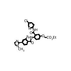 CCOC(=O)COc1ccc(NC(=O)c2ccc(C3=NCCN3C)cc2F)c(C(=O)Nc2ccc(Cl)cn2)c1